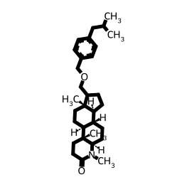 CC(C)Cc1ccc(COCC2CC[C@H]3[C@@H]4CC[C@H]5N(C)C(=O)CC[C@]5(C)[C@H]4CC[C@]23C)cc1